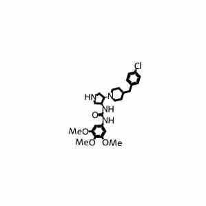 COc1cc(NC(=O)N[C@H]2CNC[C@@H]2N2CCC(Cc3ccc(Cl)cc3)CC2)cc(OC)c1OC